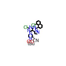 CC(C)(C)OC(=O)N1CCN(c2nc(Cl)nc3nc(-c4cccc5cccc(Cl)c45)n4nccc4c23)C[C@@H]1CC#N